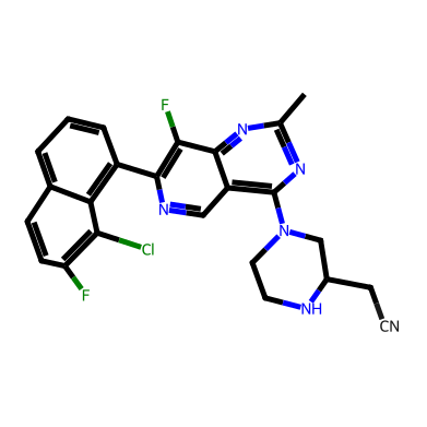 Cc1nc(N2CCNC(CC#N)C2)c2cnc(-c3cccc4ccc(F)c(Cl)c34)c(F)c2n1